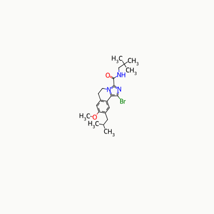 COc1cc2c(cc1CC(C)C)-c1c(Br)nc(C(=O)NCC(C)(C)C)n1CC2